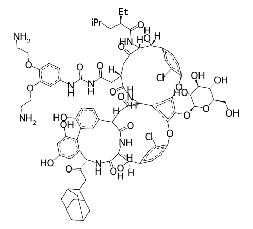 CC[C@H](CC(C)C)C(=O)N[C@H]1C(=O)C[C@@H](CC(=O)NC(=O)Nc2ccc(OCCN)c(OCCN)c2)C(=O)N[C@H]2C(=O)C[C@H]3C(=O)N[C@H](C(=O)N[C@H](C(=O)CC4C5CC6CC(C5)CC4C6)c4cc(O)cc(O)c4-c4cc3ccc4O)[C@H](O)c3ccc(c(Cl)c3)Oc3cc2cc(c3O[C@@H]2O[C@H](CO)[C@@H](O)[C@H](O)[C@H]2O)Oc2ccc(cc2Cl)[C@H]1O